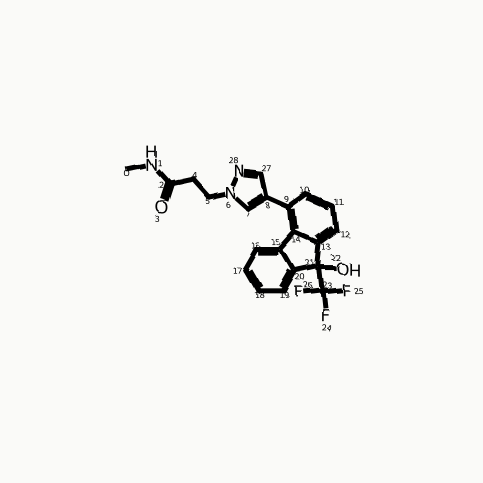 CNC(=O)CCn1cc(-c2cccc3c2-c2ccccc2C3(O)C(F)(F)F)cn1